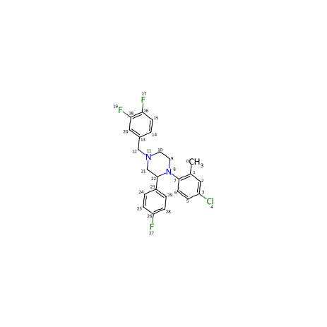 Cc1cc(Cl)ccc1N1CCN(Cc2ccc(F)c(F)c2)CC1c1ccc(F)cc1